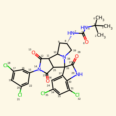 CC(C)(C)NC(=O)N[C@H]1CC2C3C(=O)N(c4cc(Cl)cc(Cl)c4)C(=O)C3C3(C(=O)Nc4c(Cl)cc(Cl)cc43)N2C1